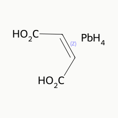 O=C(O)/C=C\C(=O)O.[PbH4]